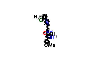 COc1ccc(-c2cc(C(=O)NCCCCN3CCN(c4cccc(C)c4Cl)CC3)c(C)[nH]2)cc1